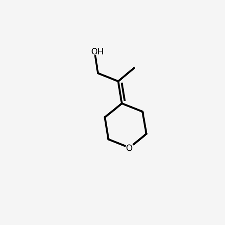 CC(CO)=C1CCOCC1